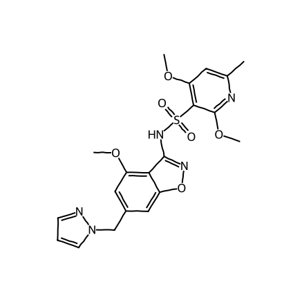 COc1cc(C)nc(OC)c1S(=O)(=O)Nc1noc2cc(Cn3cccn3)cc(OC)c12